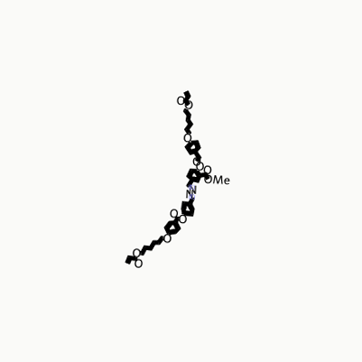 C=CC(=O)OCCCCCCOc1ccc(COOc2ccc(/C=N/N=C/c3ccc(OC(=O)c4ccc(OCCCCCCOC(=O)C=C)cc4)cc3)cc2C(=O)OC)cc1